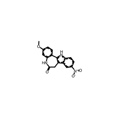 COc1ccc2c(c1)NC(=O)Cc1c-2[nH]c2ccc([N+](=O)[O-])cc12